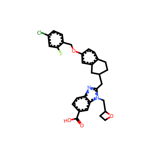 O=C(O)c1ccc2nc(CC3CCc4ccc(OCc5ccc(Cl)cc5F)cc4C3)n(CC3CCO3)c2c1